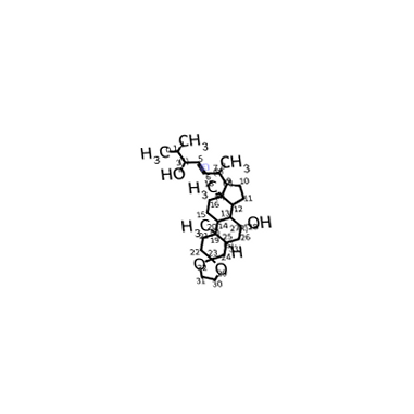 CC(C)[C@H](O)/C=C/[C@@H](C)[C@H]1CCC2C3C(CC[C@@]21C)[C@@]1(C)CCC2(C[C@@H]1C[C@H]3O)OCCO2